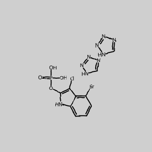 O=P(O)(O)Oc1[nH]c2cccc(Br)c2c1Cl.c1nnn[nH]1.c1nnn[nH]1